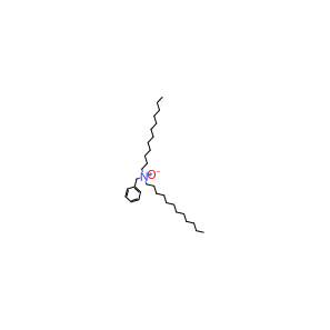 CCCCCCCCCCCC[N+]([O-])(CCCCCCCCCCCC)Cc1ccccc1